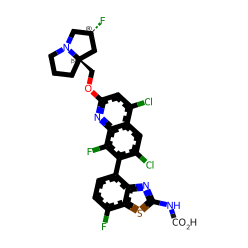 O=C(O)Nc1nc2c(-c3c(Cl)cc4c(Cl)cc(OC[C@@]56CCCN5C[C@H](F)C6)nc4c3F)ccc(F)c2s1